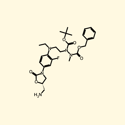 CCN(CCN(C(=O)OC(C)(C)C)N(C)C(=O)OCc1ccccc1)c1ccc(N2C[C@H](CN)OC2=O)cc1F